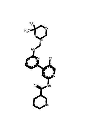 CC1(C)COC[C@@H](CNc2cccc(-c3cc(NC(=O)C4CCCNC4)ncc3Cl)n2)O1